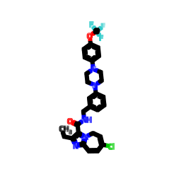 CCc1nc2n(c1C(=O)NCc1cccc(N3CCN(c4ccc(OC(F)(F)F)cc4)CC3)c1)CC=C(Cl)C=C2